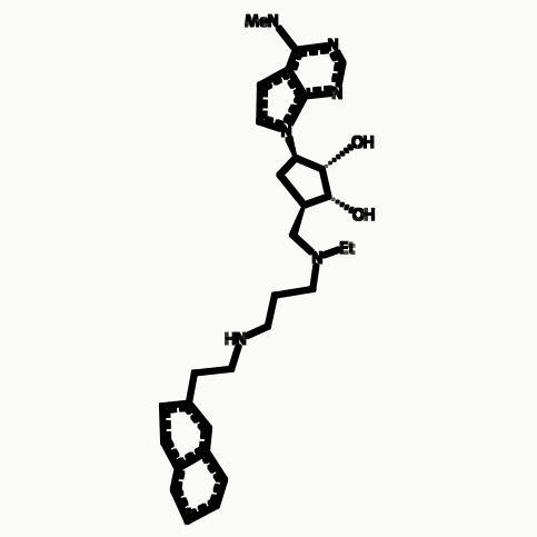 CCN(CCCNCCc1ccc2ccccc2c1)C[C@H]1C[C@@H](n2ccc3c(NC)ncnc32)[C@H](O)[C@@H]1O